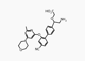 Cc1nc(Oc2cc(C#N)ccc2-c2ccc(C(CN)OCC(=O)O)cc2)cc(N2CCOCC2)n1